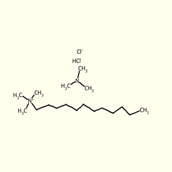 CCCCCCCCCCCC[N+](C)(C)C.CN(C)C.Cl.[Cl-]